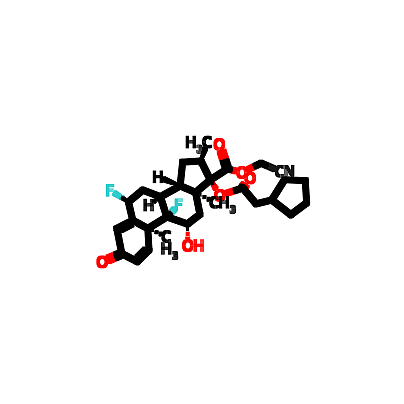 C[C@@H]1C[C@H]2[C@@H]3C[C@H](F)C4=CC(=O)C=C[C@]4(C)C3(F)[C@@H](O)C[C@]2(C)[C@@]1(OC(=O)CC1CCCC1)C(=O)OCC#N